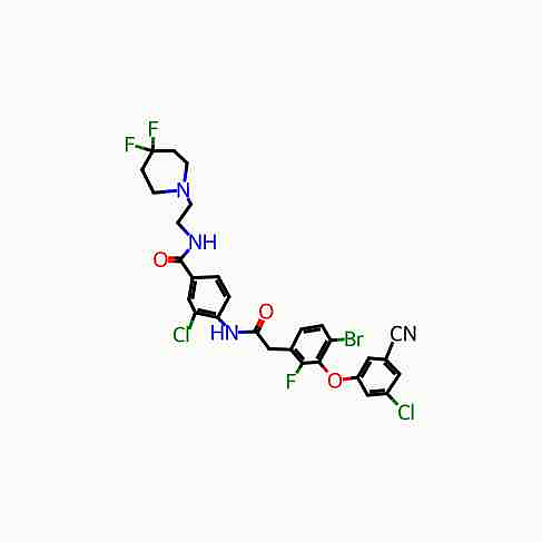 N#Cc1cc(Cl)cc(Oc2c(Br)ccc(CC(=O)Nc3ccc(C(=O)NCCN4CCC(F)(F)CC4)cc3Cl)c2F)c1